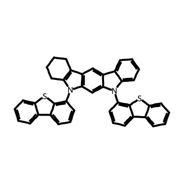 c1ccc2c(c1)sc1c(-n3c4c(c5cc6c7ccccc7n(-c7cccc8c7sc7ccccc78)c6cc53)CCCC4)cccc12